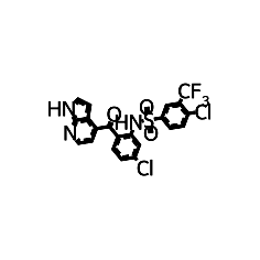 O=C(c1ccc(Cl)cc1NS(=O)(=O)c1ccc(Cl)c(C(F)(F)F)c1)c1ccnc2[nH]ccc12